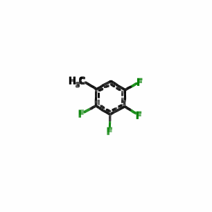 Cc1cc(F)c(F)c(F)c1F